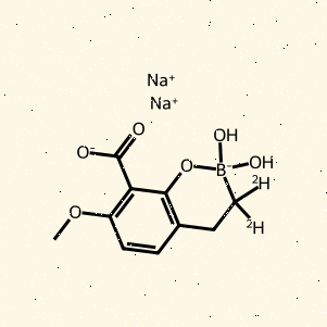 [2H]C1([2H])Cc2ccc(OC)c(C(=O)[O-])c2O[B-]1(O)O.[Na+].[Na+]